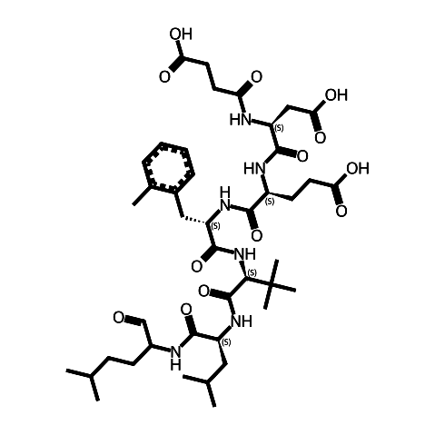 Cc1ccccc1C[C@H](NC(=O)[C@H](CCC(=O)O)NC(=O)[C@H](CC(=O)O)NC(=O)CCC(=O)O)C(=O)N[C@H](C(=O)N[C@@H](CC(C)C)C(=O)NC(C=O)CCC(C)C)C(C)(C)C